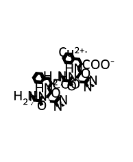 C[C@H](N)C(=O)N[C@@H](Cc1cncn1C)C(=O)N[C@@H](Cc1ccccc1)C(=O)[O-].C[C@H](N)C(=O)N[C@@H](Cc1cncn1C)C(=O)N[C@@H](Cc1ccccc1)C(=O)[O-].[Cu+2]